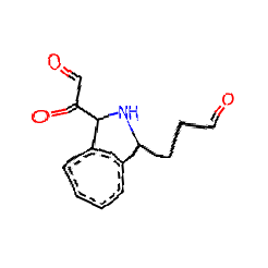 O=CCCC1NC(C(=O)C=O)c2ccccc21